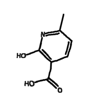 Cc1ccc(C(=O)O)c(O)n1